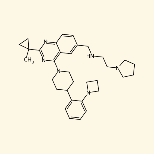 CC1(c2nc(N3CCC(c4ccccc4N4CCC4)CC3)c3cc(CNCCN4CCCC4)ccc3n2)CC1